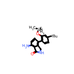 C[SiH](C)Oc1cc(C(C)(C)C)ccc1-c1ccc(N)c2c1CNC2=O